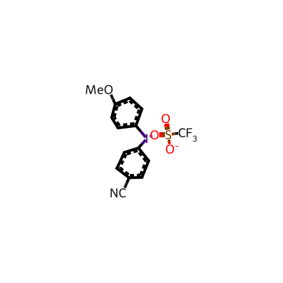 COc1ccc([I+]c2ccc(C#N)cc2)cc1.O=S(=O)([O-])C(F)(F)F